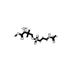 COC(=O)[C@H](O)C(C)(C)COS(=O)(=O)CCCNC(C)=O